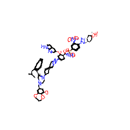 COc1cc(CN2CCN(C3CC4(C3)CN(c3ccc(C(=O)NS(=O)(=O)c5ccc(NC[C@H]6CC[C@](C)(O)CC6)c([N+](=O)[O-])c5)c(Oc5cnc6[nH]ccc6c5)c3)C4)[C@H](c3ccccc3C(C)C)C2)cc2c1OCCCO2